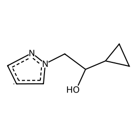 OC(Cn1c[c]cn1)C1CC1